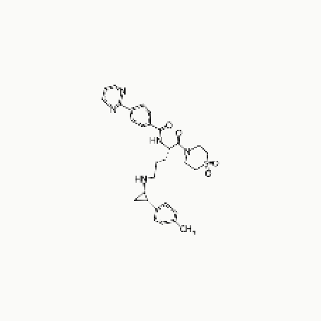 Cc1ccc([C@@H]2C[C@H]2NCCC[C@H](NC(=O)c2ccc(-c3ncccn3)cc2)C(=O)N2CCS(=O)(=O)CC2)cc1